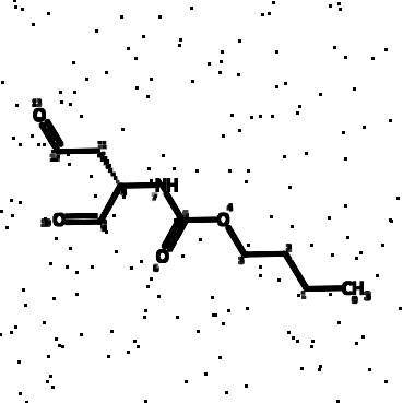 CCCCOC(=O)N[C@H]([C]=O)C[C]=O